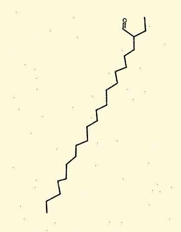 CCCCCCCCCCCCCCCCCCCC(C=O)CC